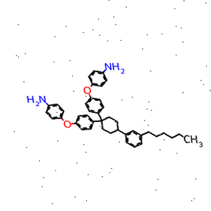 CCCCCCc1cccc(C2CCC(c3ccc(Oc4ccc(N)cc4)cc3)(c3ccc(Oc4ccc(N)cc4)cc3)CC2)c1